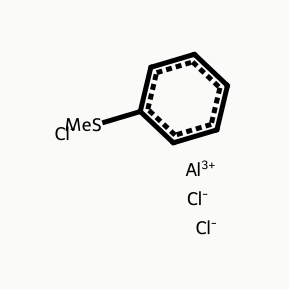 CSc1ccccc1.[Al+3].[Cl-].[Cl-].[Cl-]